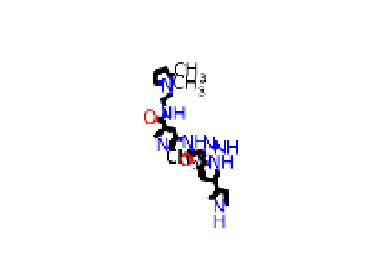 Cc1ncc(C(=O)NCCN2CCCC2(C)C)cc1NC(=O)/C(N=N)=C1\C=CC(c2cc[nH]c2)=CN1